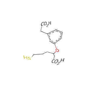 O=C(O)Cc1cccc(OC(CCCS)C(=O)O)c1